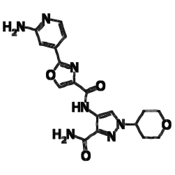 NC(=O)c1nn(C2CCOCC2)cc1NC(=O)c1coc(-c2ccnc(N)c2)n1